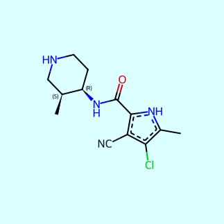 Cc1[nH]c(C(=O)N[C@@H]2CCNC[C@@H]2C)c(C#N)c1Cl